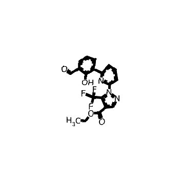 CCOC(=O)c1cnn(-c2cccc(-c3cccc(C=O)c3O)n2)c1C(F)(F)F